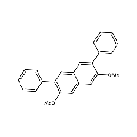 COc1cc2cc(OC)c(-c3ccccc3)cc2cc1-c1ccccc1